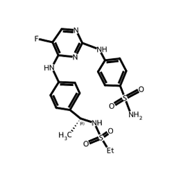 CCS(=O)(=O)N[C@H](C)c1ccc(Nc2nc(Nc3ccc(S(N)(=O)=O)cc3)ncc2F)cc1